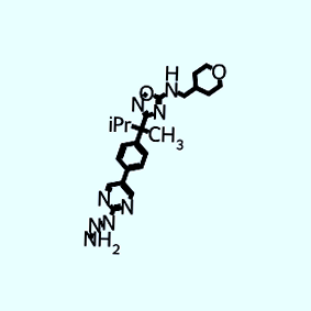 CC(C)C(C)(c1ccc(-c2cnc(N=NN)nc2)cc1)c1noc(NCC2CCOCC2)n1